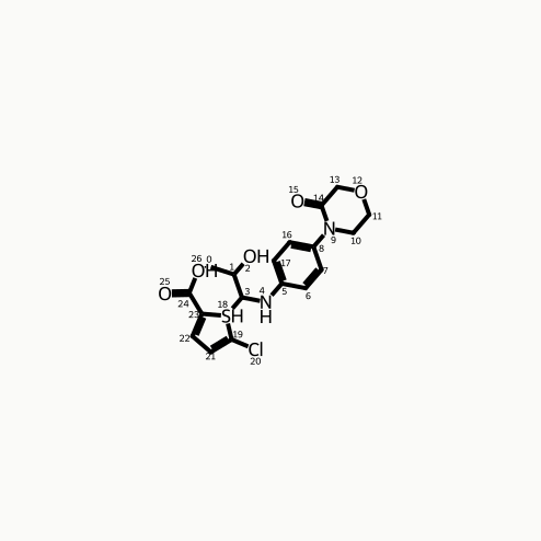 [CH2]C(O)C(Nc1ccc(N2CCOCC2=O)cc1)[SH]1C(Cl)=CC=C1C(=O)O